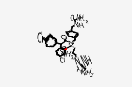 N=C(N)NCCC[C@H](C(N)=O)N(Cc1ccc(CNC(N)=O)cc1)C(=O)C(c1ccc(Cl)cc1)c1ccc(Cl)cc1